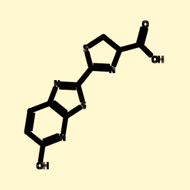 O=C(O)C1CSC(c2nc3ccc(O)nc3s2)=N1